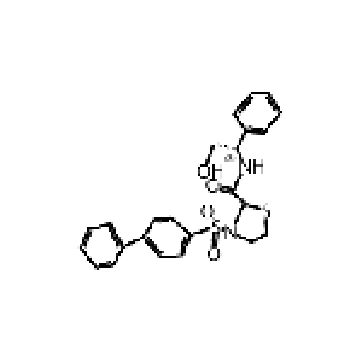 O=C(N[C@H](CO)c1ccccc1)C1SCCN1S(=O)(=O)c1ccc(-c2ccccc2)cc1